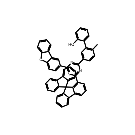 Cc1ccc(-c2nc(-c3ccc4oc5ccccc5c4c3)nc(-c3cccc4c3C3(c5ccccc5-c5ccccc53)c3ccccc3-4)n2)cc1-c1ccccc1O